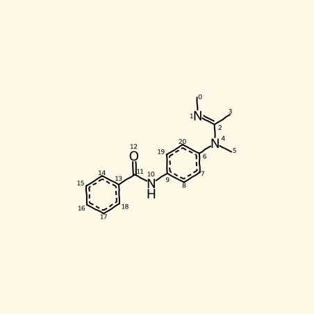 CN=C(C)N(C)c1ccc(NC(=O)c2ccccc2)cc1